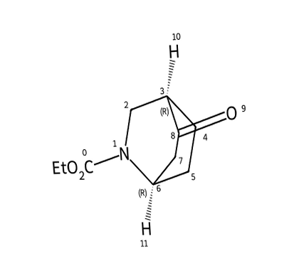 CCOC(=O)N1C[C@H]2CC[C@@H]1CC2=O